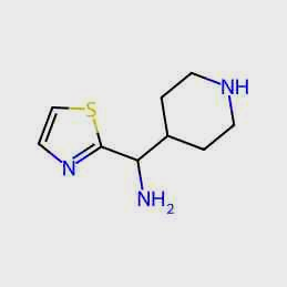 NC(c1nccs1)C1CCNCC1